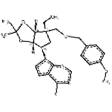 CC[C@@]1(COCc2ccc(OC)cc2)C[C@@H](n2ccc3c(Cl)ncnc32)[C@@H]2OC(C)(C)O[C@@H]21